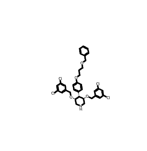 Clc1cc(Cl)cc(CO[C@H]2CNC[C@@H](OCc3cc(Cl)cc(Cl)c3)[C@H]2c2ccc(OCCCOCc3ccccc3)cc2)c1